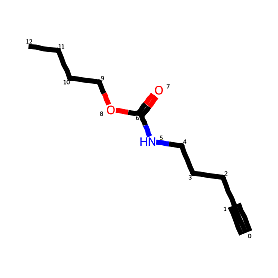 C#CCCCNC(=O)OCCCC